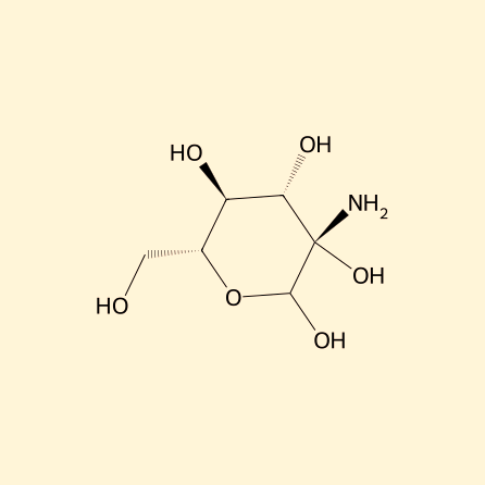 N[C@@]1(O)C(O)O[C@H](CO)[C@@H](O)[C@@H]1O